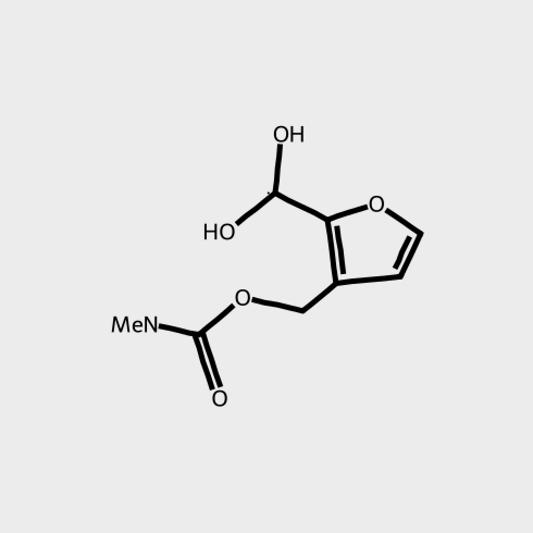 CNC(=O)OCc1ccoc1[C](O)O